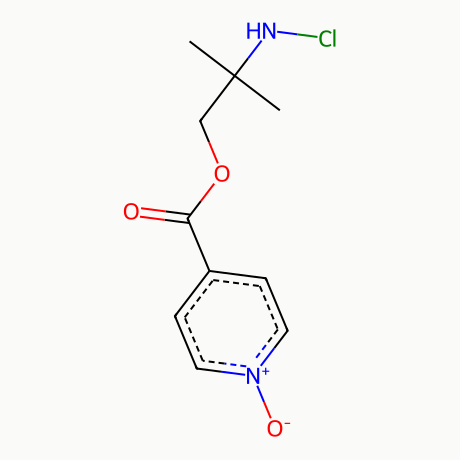 CC(C)(COC(=O)c1cc[n+]([O-])cc1)NCl